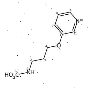 O=C(O)NCCCOc1cccnc1